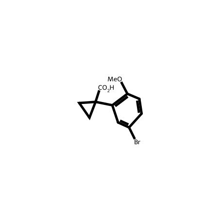 COc1ccc(Br)cc1C1(C(=O)O)CC1